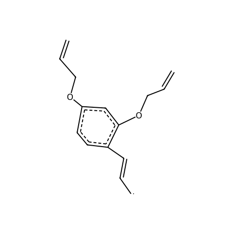 [CH2]C=Cc1ccc(OCC=C)cc1OCC=C